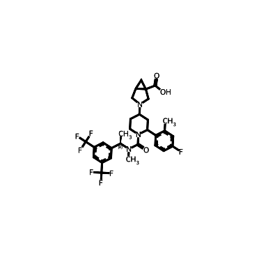 Cc1cc(F)ccc1C1CC(N2CC3CC3(C(=O)O)C2)CCN1C(=O)N(C)[C@H](C)c1cc(C(F)(F)F)cc(C(F)(F)F)c1